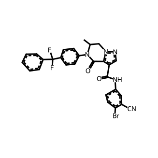 CC1Cn2ncc(C(=O)Nc3ccc(Br)c(C#N)c3)c2C(=O)N1c1ccc(C(F)(F)c2ccccc2)cc1